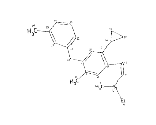 CCN(C)/C=N\c1cc(C)c(Cc2cccc(C)c2)cc1C1CC1